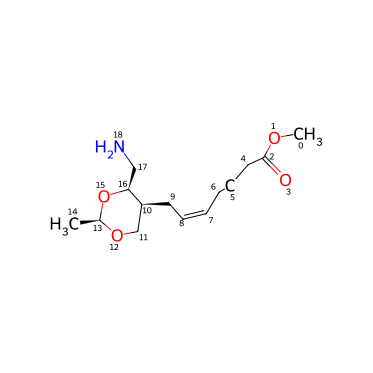 COC(=O)CCC/C=C\C[C@H]1CO[C@@H](C)O[C@H]1CN